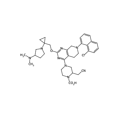 CN(C)C1CCN(C2(COc3nc4c(c(N5CCN(C(=O)O)C(CC#N)C5)n3)CCN(c3cccc5cccc(Cl)c35)C4)CC2)C1